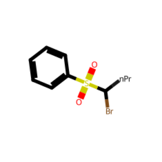 CCCC(Br)S(=O)(=O)c1ccccc1